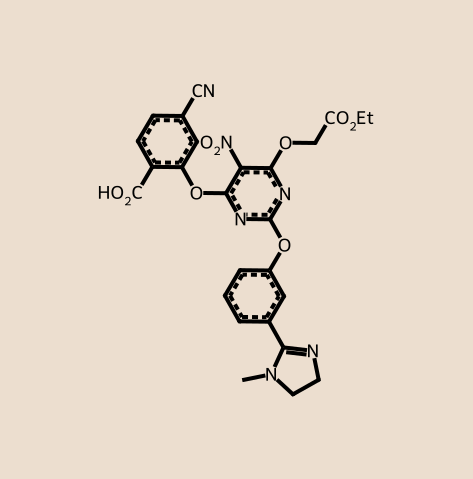 CCOC(=O)COc1nc(Oc2cccc(C3=NCCN3C)c2)nc(Oc2cc(C#N)ccc2C(=O)O)c1[N+](=O)[O-]